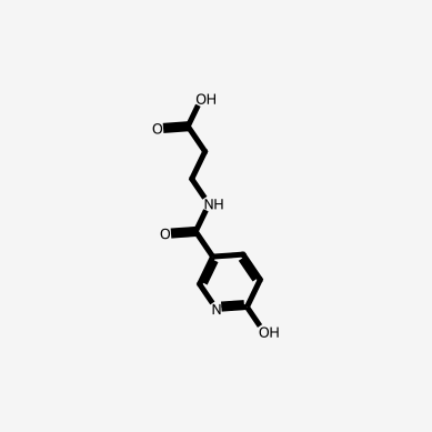 O=C(O)CCNC(=O)c1ccc(O)nc1